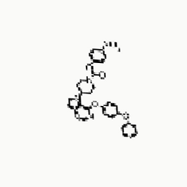 O=C(Oc1ccc([N+](=O)[O-])cc1)N1CCC(n2ccc3ncnc(Oc4ccc(Oc5ccccc5)cc4)c32)CC1